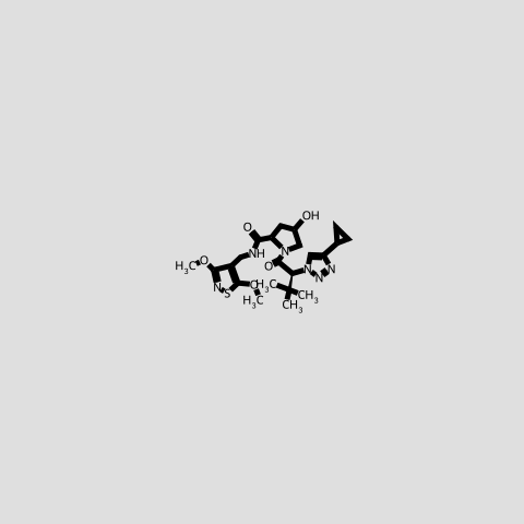 COc1nsc(OC)c1CNC(=O)C1CC(O)CN1C(=O)[C@@H](n1cc(C2CC2)nn1)C(C)(C)C